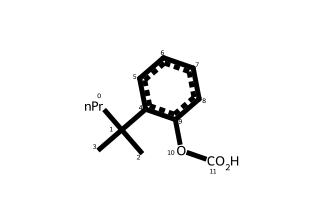 CCCC(C)(C)c1ccccc1OC(=O)O